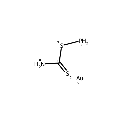 NC(=S)SP.[Au]